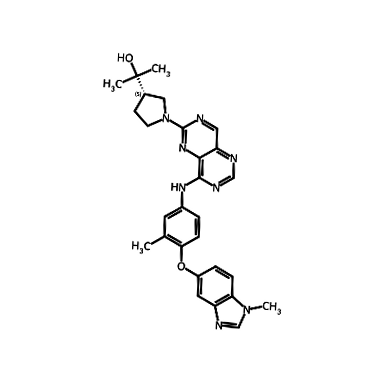 Cc1cc(Nc2ncnc3cnc(N4CC[C@H](C(C)(C)O)C4)nc23)ccc1Oc1ccc2c(c1)ncn2C